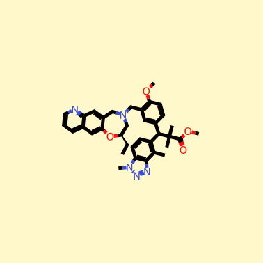 CC[C@@H]1CN(Cc2cc(C(c3ccc4c(nnn4C)c3C)C(C)(C)C(=O)OC)ccc2OC)Cc2cc3ncccc3cc2O1